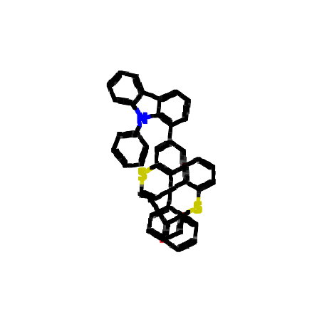 c1ccc(-c2cccc3c2C2(c4ccccc4Sc4ccccc42)c2ccc(-c4cccc5c6ccccc6n(-c6ccccc6)c45)cc2S3)cc1